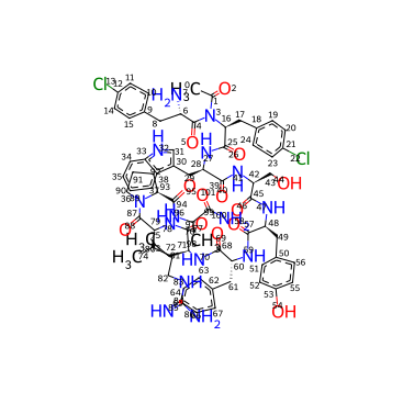 CC(=O)N(C(=O)[C@@H](N)Cc1ccc(Cl)cc1)[C@@H](Cc1ccc(Cl)cc1)C(=O)N[C@H](Cc1c[nH]c2ccccc12)C(=O)N[C@@H](CO)C(=O)N[C@@H](Cc1ccc(O)cc1)C(=O)N[C@H](Cc1ccccc1)C(=O)N[C@@H](CC(C)C)C(=O)N[C@@H](CCCNC(=N)N)C(=O)N1CCC[C@H]1C(=O)N[C@H](C)C(N)=O